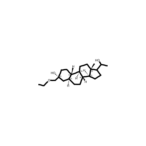 CCOC[C@@]1(O)CC[C@H]2[C@@H](CC[C@@H]3[C@@H]2CC[C@]2(C)C(C(C)O)CC[C@@H]32)C1